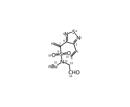 C=Cc1nsnc1C(=C)S(=O)(=O)N(CC=O)CCCC